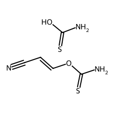 N#CC=COC(N)=S.NC(O)=S